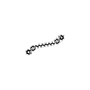 c1ccc(N2CCN(CCCCCCCCCCCCN3CCN(c4ccccn4)CC3)CC2)nc1